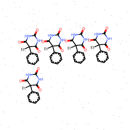 CCC1(c2ccccc2)C(=O)NC(=O)NC1=O.CCC1(c2ccccc2)C(=O)NC(=O)NC1=O.CCC1(c2ccccc2)C(=O)NC(=O)NC1=O.CCC1(c2ccccc2)C(=O)NC(=O)NC1=O.CCC1(c2ccccc2)C(=O)NC(=O)NC1=O